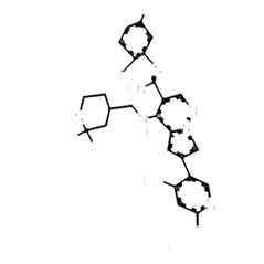 COc1cc(C)c(-c2cc3c(NCC4CCNC(C)(C)C4)c(/C(N)=N/c4cc(F)ccc4Cl)cnn3c2)cn1